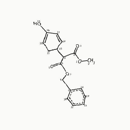 COC(=O)C(C(=O)OCc1ccccc1)C1C=CC(O)=CC1